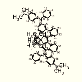 CC(C)c1ccc(N(c2ccccc2)c2ccc3c4c(c5ccccc5c3c2)-c2c(cc(N(c3ccccc3)c3ccc(C(C)C)cc3)c3ccccc23)C4([Si](C)(C)C)[Si](C)(C)C)cc1